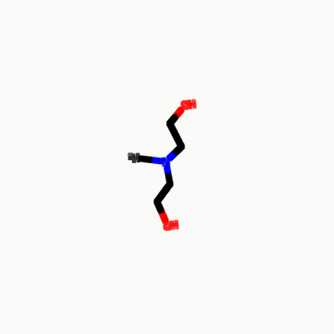 [2H]N(CCO)CCO